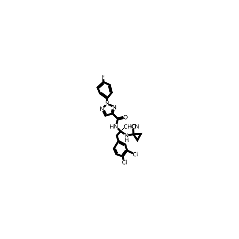 N#CC1(N[C@@](C=O)(Cc2ccc(Cl)c(Cl)c2)NC(=O)c2cnn(-c3ccc(F)cc3)n2)CC1